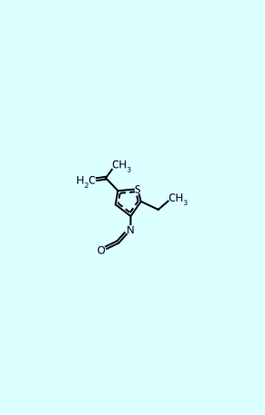 C=C(C)c1cc(N=C=O)c(CC)s1